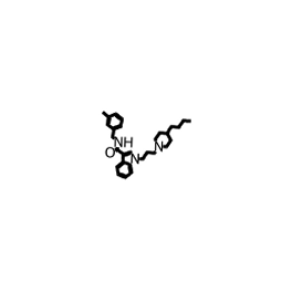 CCCCC1CCN(CCCn2cc(C(=O)NCc3cccc(C)c3)c3ccccc32)CC1